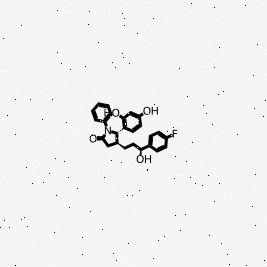 O=C1C[C@H](CC[C@H](O)c2ccc(F)cc2)[C@@H](c2ccc(O)cc2O)N1c1ccccc1